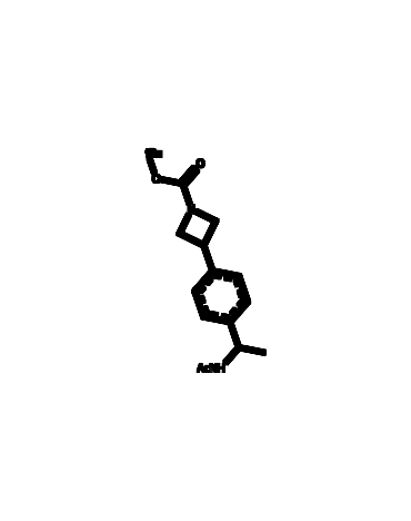 CC(=O)NC(C)c1ccc(C2CN(C(=O)OC(C)(C)C)C2)cc1